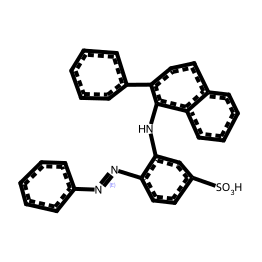 O=S(=O)(O)c1ccc(/N=N/c2ccccc2)c(Nc2c(-c3ccccc3)ccc3ccccc23)c1